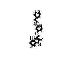 Cc1c(COc2ccnc(OCCC3CCOCC3)c2)[nH]c2ccccc2c1=O